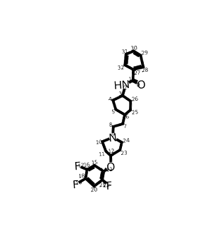 O=C(NC1CCC(CCN2CCC(Oc3cc(F)c(F)cc3F)CC2)CC1)c1ccccc1